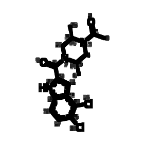 CC(=O)N1C[C@@H](C)N(C(=O)c2cc3c(Cl)c(Cl)ccc3[nH]2)C[C@H]1C